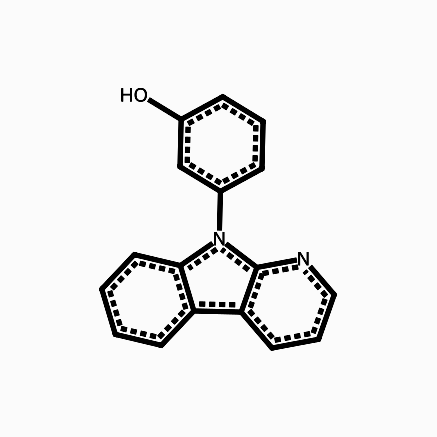 Oc1cccc(-n2c3ccccc3c3cccnc32)c1